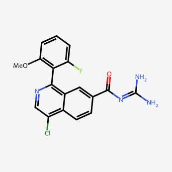 COc1cccc(F)c1-c1ncc(Cl)c2ccc(C(=O)N=C(N)N)cc12